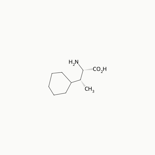 C[C@H](C1CCCCC1)[C@H](N)C(=O)O